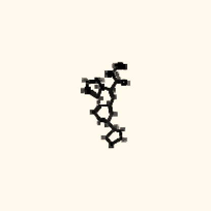 CC(C)(C)NC(=O)/C(=C/c1cccc(C2CCCC2)c1)n1cncn1